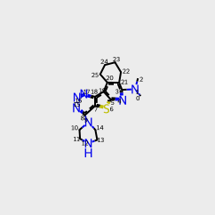 CN(C)c1nc2sc3c(N4CCNCC4)nnnc3c2c2c1CCCC2